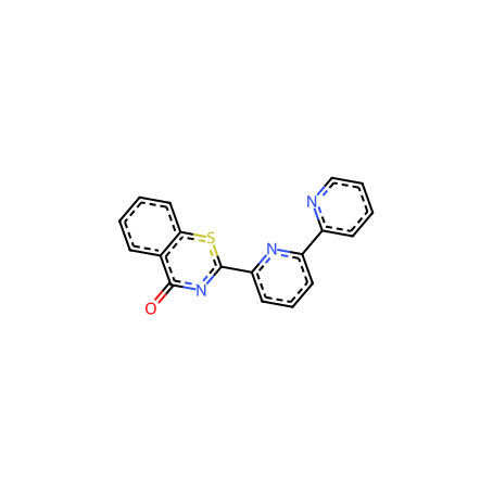 O=c1nc(-c2cccc(-c3ccccn3)n2)sc2ccccc12